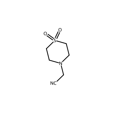 N#CCN1CCS(=O)(=O)CC1